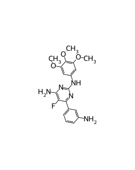 COc1cc(Nc2nc(N)c(F)c(-c3cccc(N)c3)n2)cc(OC)c1OC